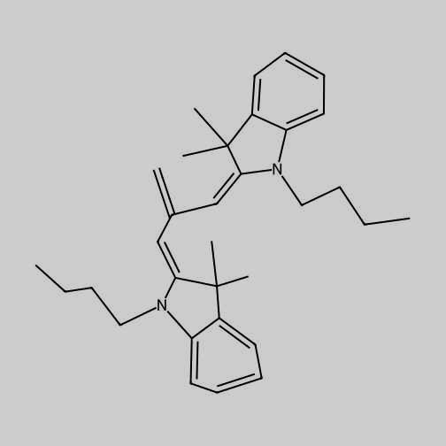 C=C(/C=C1/N(CCCC)c2ccccc2C1(C)C)/C=C1/N(CCCC)c2ccccc2C1(C)C